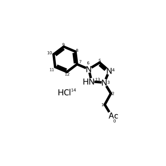 CC(=O)CCN1N=CN(c2ccccc2)N1.Cl